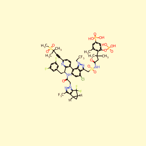 Cc1cc(P(=O)(O)O)cc(OP(=O)(O)O)c1C(C)(C)CC(=O)NS(=O)(=O)Cc1nn(CC(F)(F)F)c2c(-c3ccc(C#CC(C)(C)S(C)(=O)=O)nc3[C@H](Cc3cc(F)cc(F)c3)NC(=O)Cn3nc(C(F)(F)F)c4c3C(F)(F)[C@@H]3C[C@H]43)ccc(Cl)c12